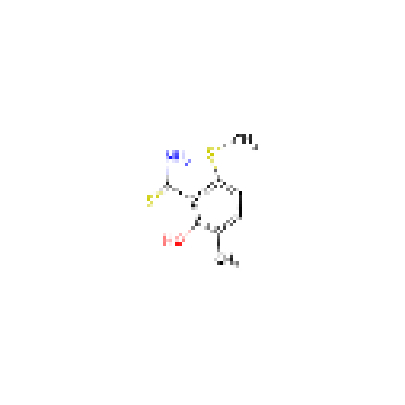 CSc1ccc(C)c(O)c1C(N)=S